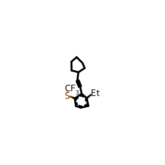 CCc1cccc(SC(F)(F)F)c1C#CC1CCCCC1